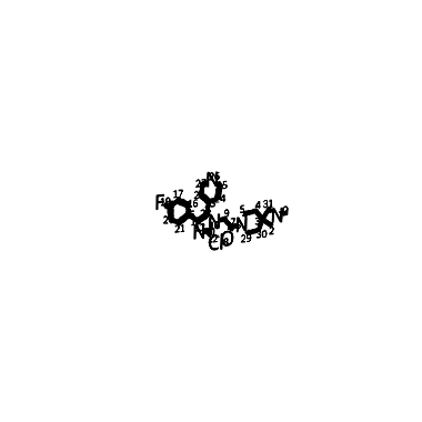 CN1CC2(CCN(C(=O)Cn3c(Cl)nc(-c4ccc(F)cc4)c3-c3ccncc3)CC2)C1